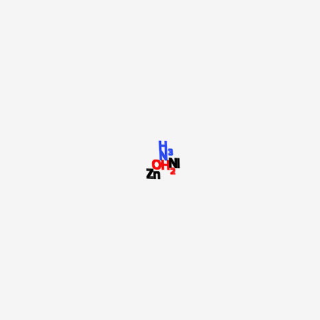 N.O.[Ni].[Zn]